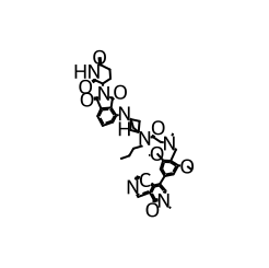 CCCCN(C(=O)CN(C)Cc1c(OC)cc(-c2cn(C)c(=O)c3cnccc23)cc1OC)C12CC(Nc3cccc4c3C(=O)N(C3CCC(=O)NC3=O)C4=O)(C1)C2